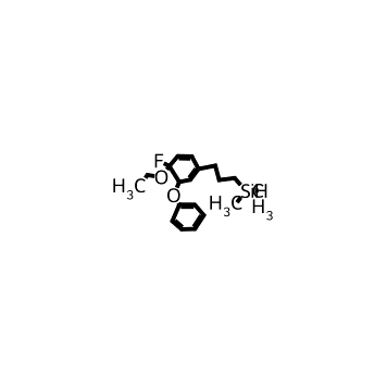 CCOC1(F)C=CC(CCC[SiH](C)C)=CC1Oc1ccccc1